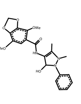 COc1cc(C(=O)NC2=C(C)N(C)N(c3ccccc3)C2O)c(OC)c2c1OCO2